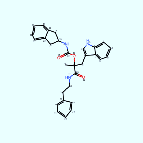 CC(Cc1c[nH]c2ccccc12)(OC(=O)NC1Cc2ccccc2C1)C(=O)NCCc1ccccc1